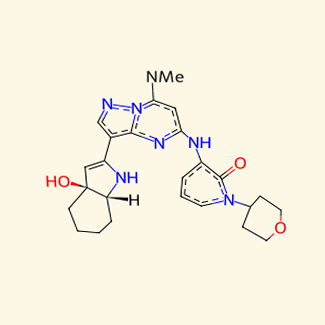 CNc1cc(Nc2cccn(C3CCOCC3)c2=O)nc2c(C3=C[C@@]4(O)CCCC[C@H]4N3)cnn12